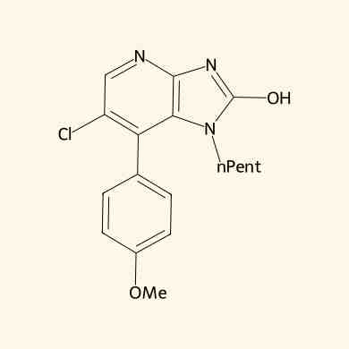 CCCCCn1c(O)nc2ncc(Cl)c(-c3ccc(OC)cc3)c21